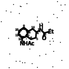 CCC(=O)NC1CCc2c(cccc2NC(C)=O)C1